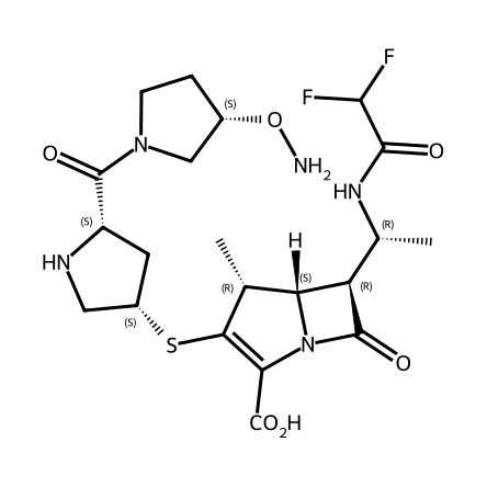 C[C@@H](NC(=O)C(F)F)[C@H]1C(=O)N2C(C(=O)O)=C(S[C@@H]3CN[C@H](C(=O)N4CC[C@H](ON)C4)C3)[C@H](C)[C@H]12